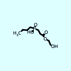 CCCCP(=O)(O)CCC(=O)OCCO